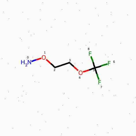 NOCCOC(F)(F)F